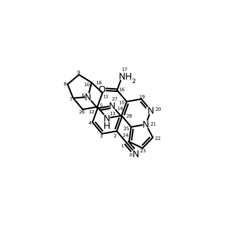 N#Cc1ccc(N2C3CCC2CC(Nc2c(C(N)=O)cnn4cccc24)C3)nc1